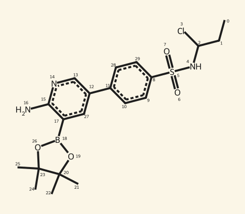 CCC(Cl)NS(=O)(=O)c1ccc(-c2cnc(N)c(B3OC(C)(C)C(C)(C)O3)c2)cc1